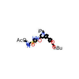 CCCCOCCOc1ccc(-c2ccc3c(c2)C=C(C(=O)Nc2ccc([S+]([O-])Cc4cncn4CCOC(C)=O)cc2)CCN3CC(C)C)cc1